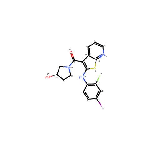 O=C(c1c(Nc2ccc(I)cc2F)sc2ncccc12)N1CC[C@H](O)C1